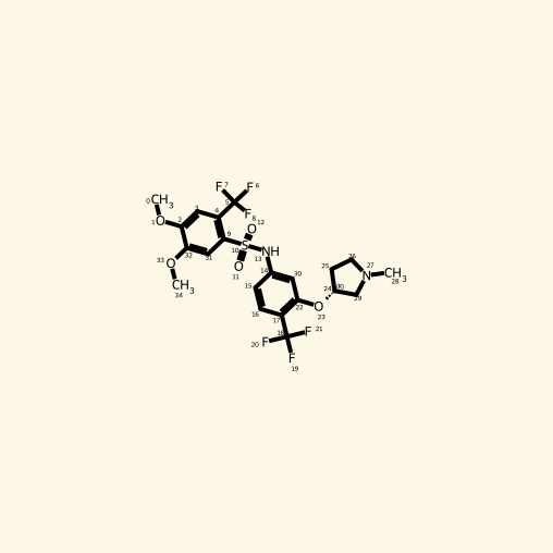 COc1cc(C(F)(F)F)c(S(=O)(=O)Nc2ccc(C(F)(F)F)c(O[C@@H]3CCN(C)C3)c2)cc1OC